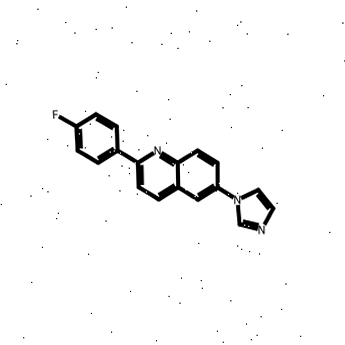 Fc1ccc(-c2ccc3cc(-n4ccnc4)ccc3n2)cc1